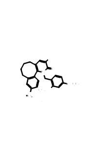 COc1ccc(Cn2c3c(cc(C(=O)O)c2=O)CCCCc2cc(N(C)C)ccc2-3)c(OC)c1